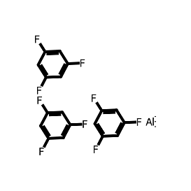 Fc1cc(F)cc(F)c1.Fc1cc(F)cc(F)c1.Fc1cc(F)cc(F)c1.[Al]